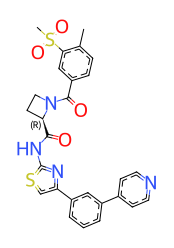 Cc1ccc(C(=O)N2CC[C@@H]2C(=O)Nc2nc(-c3cccc(-c4ccncc4)c3)cs2)cc1S(C)(=O)=O